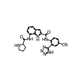 N#Cc1ccc(NC(=O)c2cc3cccc(NC(=O)C4CCCN4)c3[nH]2)c(-c2nnn[nH]2)c1